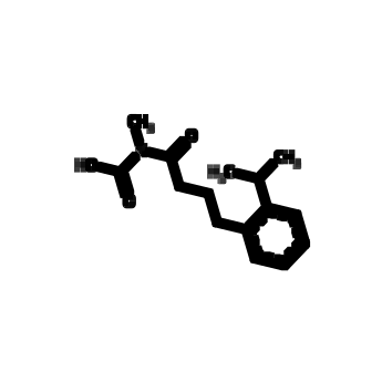 CC(C)c1ccccc1CCCC(=O)N(C)C(=O)O